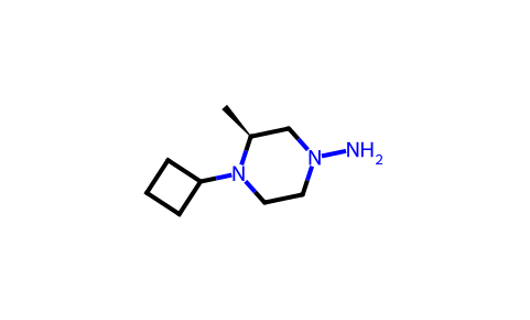 C[C@H]1CN(N)CCN1C1CCC1